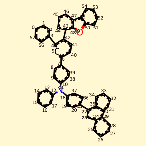 c1ccc(-c2cc(-c3ccc(N(c4ccccc4)c4ccc(-c5cc6ccccc6c6ccccc56)cc4)cc3)ccc2-c2cccc3c2oc2ccccc23)cc1